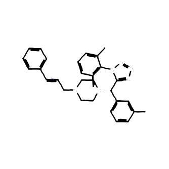 Cc1cccc([C@@H](c2nnnn2-c2c(C)cccc2C)N2CCN(C/C=C/c3ccccc3)CC2)c1